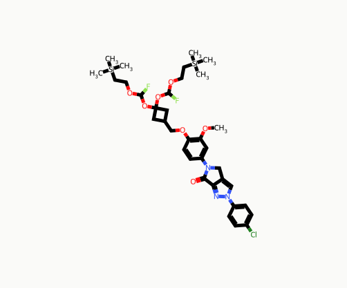 COc1cc(N2Cc3cn(-c4ccc(Cl)cc4)nc3C2=O)ccc1OCC1CC(OC(F)OCC[Si](C)(C)C)(OC(F)OCC[Si](C)(C)C)C1